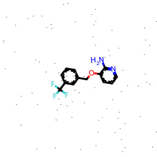 Nc1ncccc1OCc1cccc(C(F)(F)F)c1